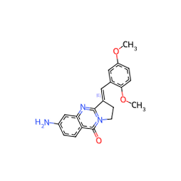 COc1ccc(OC)c(/C=C2\CCn3c2nc2cc(N)ccc2c3=O)c1